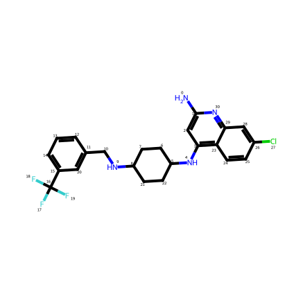 Nc1cc(NC2CCC(NCc3cccc(C(F)(F)F)c3)CC2)c2ccc(Cl)cc2n1